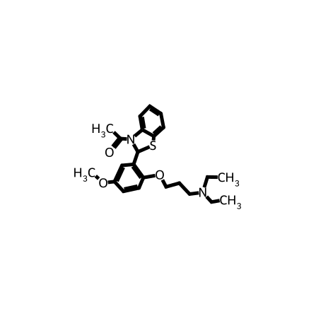 CCN(CC)CCCOc1ccc(OC)cc1C1Sc2ccccc2N1C(C)=O